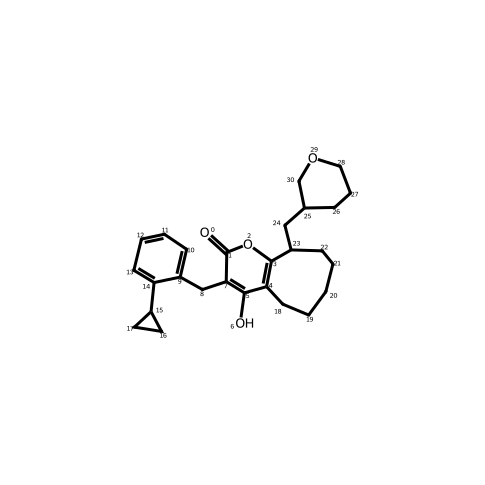 O=c1oc2c(c(O)c1Cc1ccccc1C1CC1)CCCCCC2CC1CCCOC1